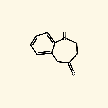 O=C1CCNc2ccccc2C1